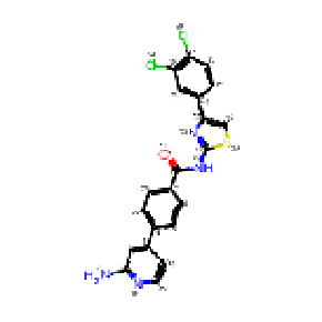 Nc1cc(-c2ccc(C(=O)Nc3nc(-c4ccc(Cl)c(Cl)c4)cs3)cc2)ccn1